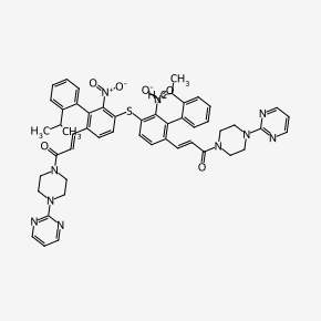 CC(C)c1ccccc1-c1c(/C=C/C(=O)N2CCN(c3ncccn3)CC2)ccc(Sc2ccc(/C=C/C(=O)N3CCN(c4ncccn4)CC3)c(-c3ccccc3C(C)C)c2[N+](=O)[O-])c1[N+](=O)[O-]